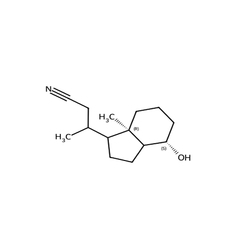 CC(CC#N)C1CCC2[C@@H](O)CCC[C@]12C